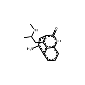 CNC(C)Cc1c2cc(N)c3cccc([nH]c2=O)c13